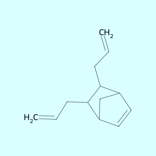 C=CCC1C2C=CC(C2)C1CC=C